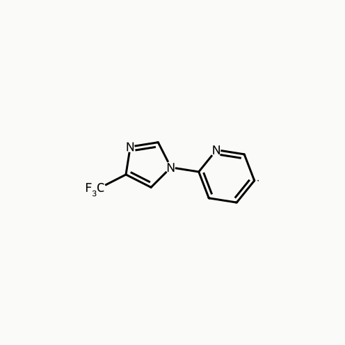 FC(F)(F)c1cn(-c2cc[c]cn2)cn1